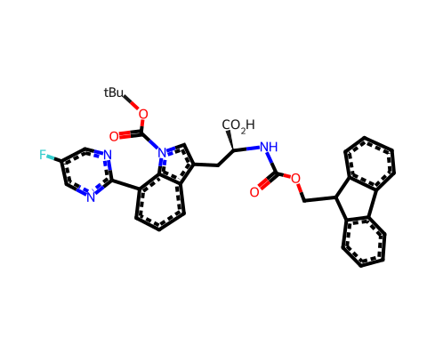 CC(C)(C)OC(=O)n1cc(C[C@H](NC(=O)OCC2c3ccccc3-c3ccccc32)C(=O)O)c2cccc(-c3ncc(F)cn3)c21